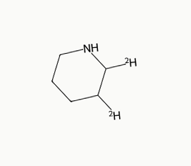 [2H]C1CCCNC1[2H]